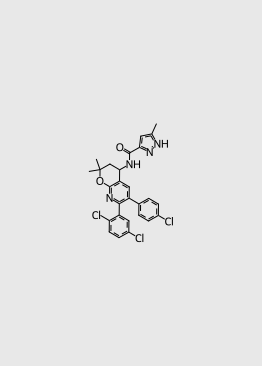 Cc1cc(C(=O)NC2CC(C)(C)Oc3nc(-c4cc(Cl)ccc4Cl)c(-c4ccc(Cl)cc4)cc32)n[nH]1